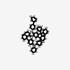 c1ccc(-c2ccc(N(c3ccc4c(c3)C(c3ccccc3)(c3ccccc3)c3ccccc3-4)c3ccc4cccc5c4c3Oc3cc(N(c4ccccc4)c4ccccc4)ccc3-5)cc2)cc1